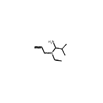 C=CCN(CC)C(N)C(C)C